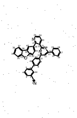 N#Cc1cccc(-c2ccc(-c3cc(-c4ccccc4)nc(-c4cccnc4-c4ccc5oc6ccccc6c5c4)n3)cc2)c1